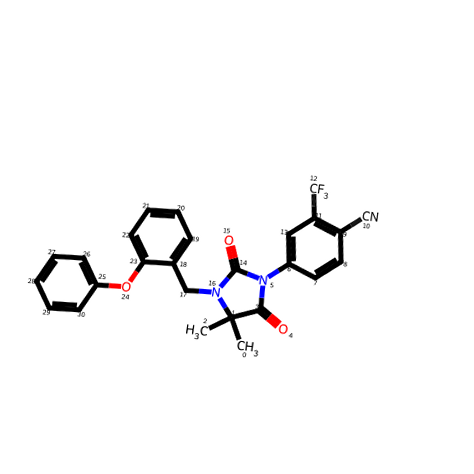 CC1(C)C(=O)N(c2ccc(C#N)c(C(F)(F)F)c2)C(=O)N1Cc1ccccc1Oc1ccccc1